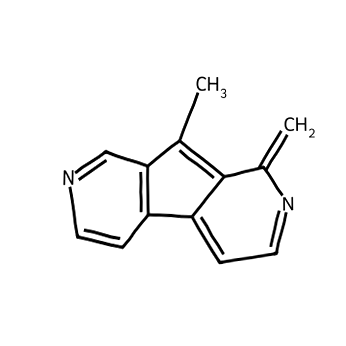 C=c1nccc2c1=C(C)c1cnccc1-2